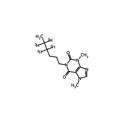 [2H]C([2H])(C)C([2H])([2H])CCCn1c(=O)c2c(ncn2C)n(C)c1=O